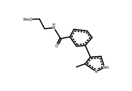 COCCNC(=O)c1c[c]cc(-c2c[nH]nc2C)c1